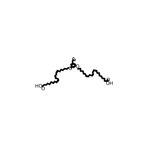 CN(C)Cc1cc(OCCCCCC/C=C\C/C=C\C/C=C\CCCCCCCC(=O)O)cc(OCCCCCC/C=C\C/C=C\C/C=C\CCCCCCCC(=O)O)c1